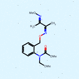 COCN(C(=O)OC)c1ccccc1CON=C(C)/C(C)=N/OC